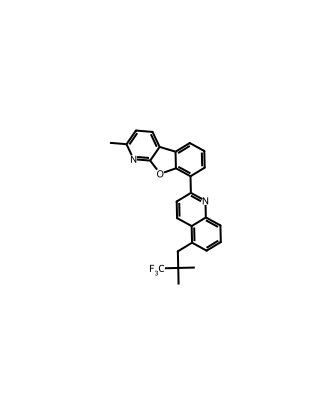 Cc1ccc2c(n1)oc1c(-c3ccc4c(CC(C)(C)C(F)(F)F)cccc4n3)cccc12